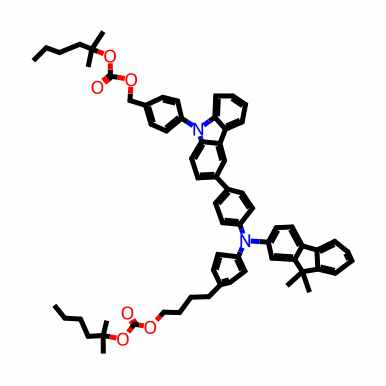 CCCCC(C)(C)OC(=O)OCCCCc1ccc(N(c2ccc(-c3ccc4c(c3)c3ccccc3n4-c3ccc(COC(=O)OC(C)(C)CCCC)cc3)cc2)c2ccc3c(c2)C(C)(C)c2ccccc2-3)cc1